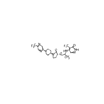 CC(CO[C@@H]1CCN(C2CCN(c3cnc(C(F)(F)F)cn3)CC2)C1=O)Nc1cn[nH]c(=O)c1C(F)(F)F